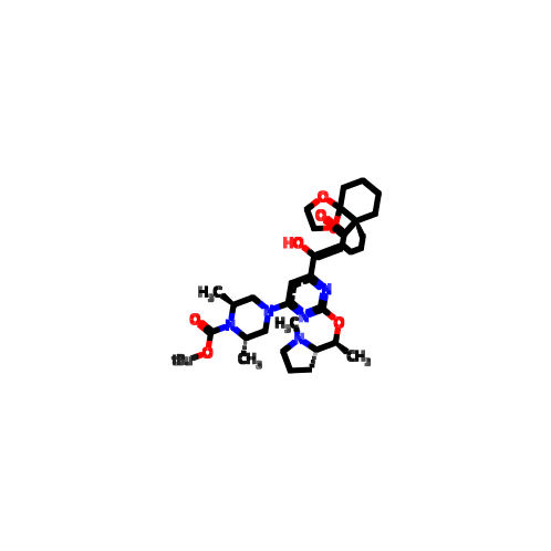 C[C@H](Oc1nc(/C(O)=C2\CCC[C@@]3(CCCCC34OCCO4)C2=O)cc(N2C[C@H](C)N(C(=O)OC(C)(C)C)[C@@H](C)C2)n1)[C@@H]1CCCN1C